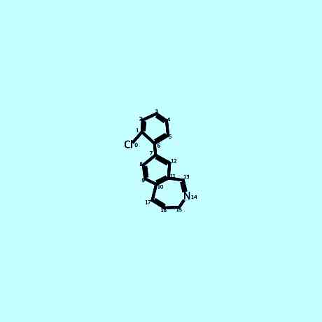 Clc1ccccc1-c1ccc2c(c1)C=NCC=C2